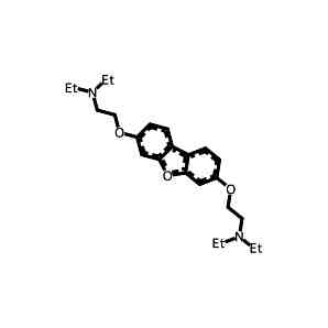 CCN(CC)CCOc1ccc2c(c1)oc1cc(OCCN(CC)CC)ccc12